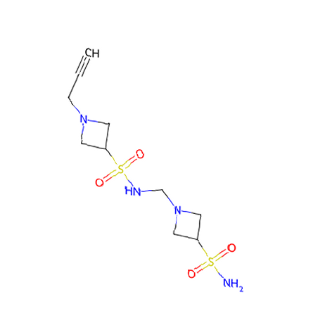 C#CCN1CC(S(=O)(=O)NCN2CC(S(N)(=O)=O)C2)C1